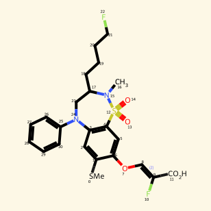 CSc1cc2c(cc1O/C=C(\F)C(=O)O)S(=O)(=O)N(C)C(CCCCF)CN2c1ccccc1